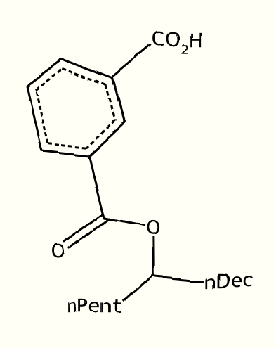 CCCCCCCCCCC(CCCCC)OC(=O)c1cccc(C(=O)O)c1